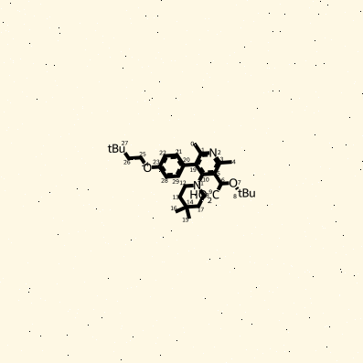 Cc1nc(C)c(C(OC(C)(C)C)C(=O)O)c(N2CCC(C)(C)CC2)c1-c1ccc(OCCC(C)(C)C)cc1